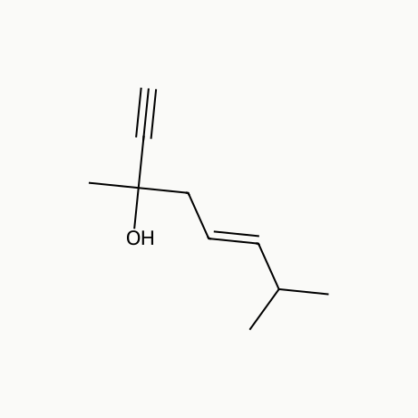 C#CC(C)(O)CC=CC(C)C